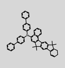 CC1(C)C2=C(C=CCC2)c2cc3c(cc21)-c1c(cc(N(c2ccc(-c4ccccc4)cc2)c2ccc(-c4ccccc4)cc2)c2ccccc12)C3(C)C